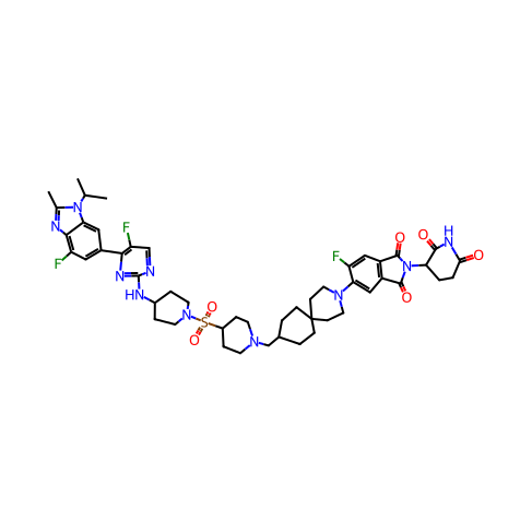 Cc1nc2c(F)cc(-c3nc(NC4CCN(S(=O)(=O)C5CCN(CC6CCC7(CC6)CCN(c6cc8c(cc6F)C(=O)N(C6CCC(=O)NC6=O)C8=O)CC7)CC5)CC4)ncc3F)cc2n1C(C)C